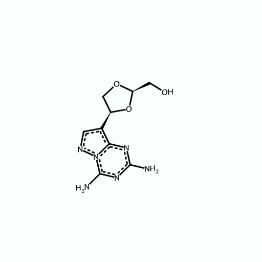 Nc1nc(N)n2ncc([C@H]3CO[C@@H](CO)O3)c2n1